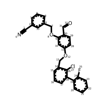 N#Cc1cccc(COc2cc(OCc3cccc(-c4ccccc4F)c3Cl)ccc2C=O)c1